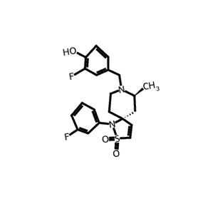 C[C@H]1C[C@@]2(C=CS(=O)(=O)N2c2cccc(F)c2)CCN1Cc1ccc(O)c(F)c1